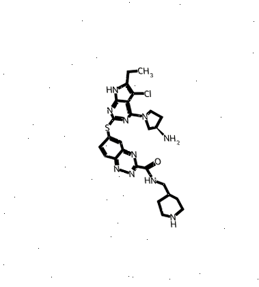 CCc1[nH]c2nc(Sc3ccc4nnc(C(=O)NCC5CCNCC5)nc4c3)nc(N3CC[C@@H](N)C3)c2c1Cl